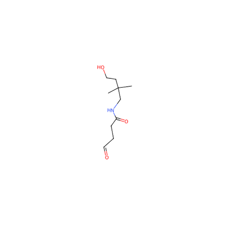 CC(C)(CCO)CNC(=O)CCC=O